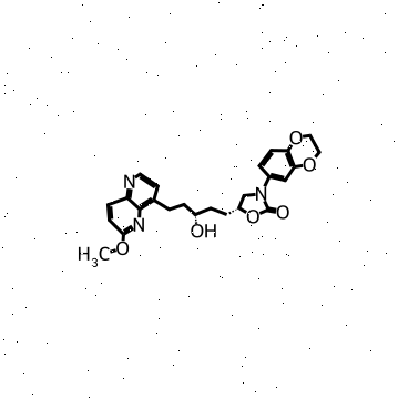 COc1ccc2nccc(CC[C@@H](O)CC[C@@H]3CN(c4ccc5c(c4)OCCO5)C(=O)O3)c2n1